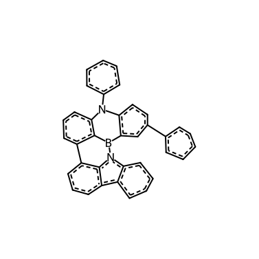 c1ccc(-c2ccc3c(c2)B2c4c(cccc4N3c3ccccc3)-c3cccc4c5ccccc5n2c34)cc1